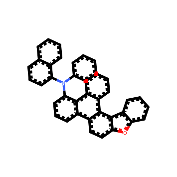 c1ccc(N(c2cccc3ccccc23)c2cccc3c4ccc5oc6ccccc6c5c4c4ccccc4c23)cc1